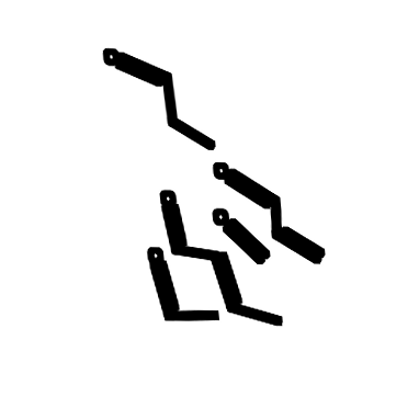 C=CC=O.C=O.CC=CC=O.CC=O.CCC=O